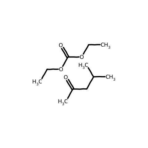 CC(=O)CC(C)C.CCOC(=O)OCC